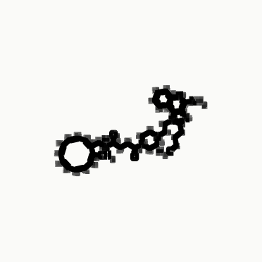 CCCCc1nc2c(N)nc3ccccc3c2n1CCN1CCN(C(=O)CCC(=O)NCC2=C/C=C\C=C/C=C\C=C/C=C\2C)CC1